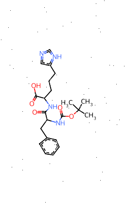 CC(C)(C)OC(=O)NC(Cc1ccccc1)C(=O)NC(CCCc1cnc[nH]1)C(=O)O